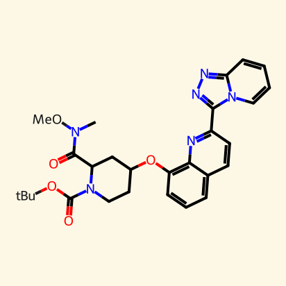 CON(C)C(=O)C1CC(Oc2cccc3ccc(-c4nnc5ccccn45)nc23)CCN1C(=O)OC(C)(C)C